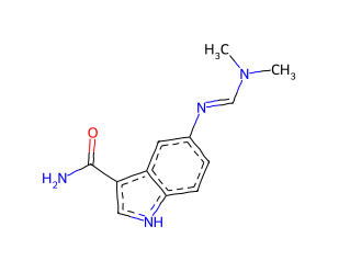 CN(C)C=Nc1ccc2[nH]cc(C(N)=O)c2c1